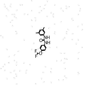 Cc1cc(C)cc(NC(=O)Nc2ccc(OC(F)F)cc2)c1